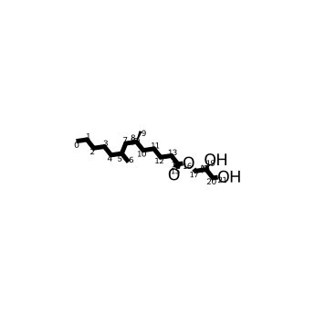 CCCCCC(C)C[C@@H](C)CCCCC(=O)OC[C@@H](O)CO